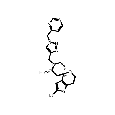 CCc1cc2c(s1)CCO[C@@]21CCN(Cc2cn(Cc3ccncn3)nn2)[C@@H](C)C1